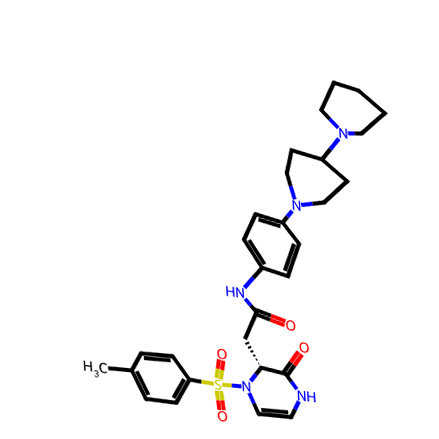 Cc1ccc(S(=O)(=O)N2C=CNC(=O)[C@H]2CC(=O)Nc2ccc(N3CCC(N4CCCCC4)CC3)cc2)cc1